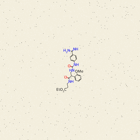 CCOC(=O)CCNC(=O)C(CNC(=O)Nc1ccc(C(=N)N)cc1)c1ccccc1OC